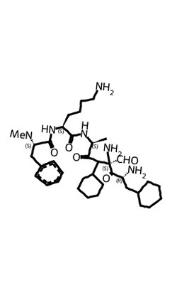 CN[C@@H](Cc1ccccc1)C(=O)N[C@@H](CCCCN)C(=O)N[C@@H](C)C(=O)C(C1CCCCC1)[C@](N)([C]=O)C(=O)[C@H](N)CC1CCCCC1